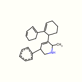 CC1NCC(c2ccccc2)C=C1C1CCCC=C1C1=CC=CCC1